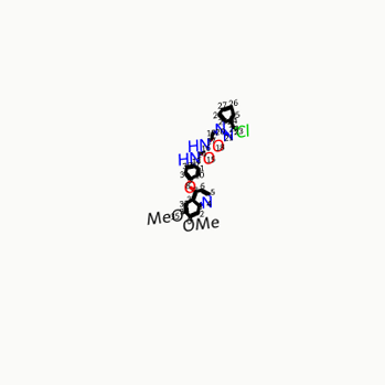 COc1cc2nccc(Oc3ccc(NC(=O)NC(=O)Cn4nc(Cl)c5ccccc54)cc3)c2cc1OC